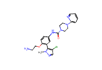 Cn1ncc(Br)c1-c1cc(NC(=O)N2CCN(c3ccccn3)CC2)ccc1OCCN